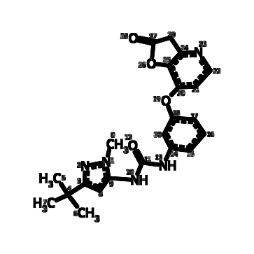 Cn1nc(C(C)(C)C)cc1NC(=O)Nc1cccc(Oc2ccnc3c2OC(=O)C3)c1